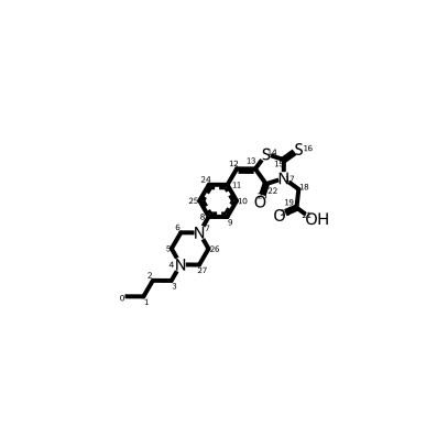 CCCCN1CCN(c2ccc(C=C3SC(=S)N(CC(=O)O)C3=O)cc2)CC1